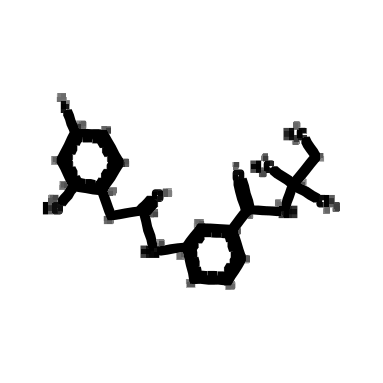 CCC(C)(C)NC(=O)c1cccc(NC(=O)Cc2ccc(F)cc2O)c1